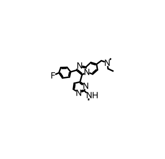 CCN(C)Cc1ccn2c(-c3ccnc(NC)n3)c(-c3ccc(F)cc3)nc2c1